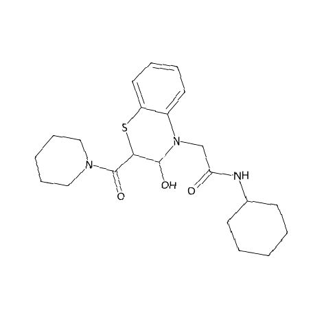 O=C(CN1c2ccccc2SC(C(=O)N2CCCCC2)C1O)NC1CCCCC1